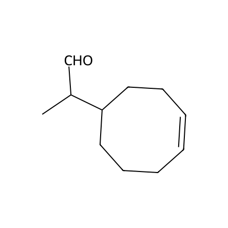 CC(C=O)C1CCC=CCCC1